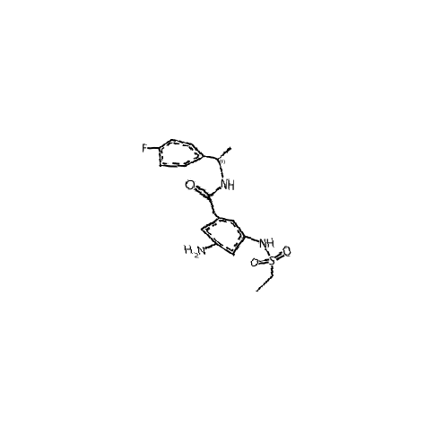 CCS(=O)(=O)Nc1cc(N)cc(C(=O)N[C@H](C)c2ccc(F)cc2)c1